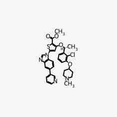 COC(=O)c1sc(-n2cnc3cc(-c4cccnc4)ccc32)cc1O[C@H](C)c1cccc(OC2CCN(C)CC2)c1Cl